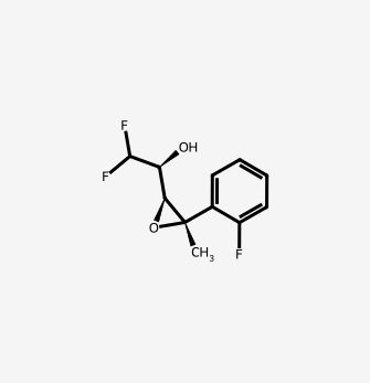 C[C@@]1(c2ccccc2F)O[C@H]1[C@H](O)C(F)F